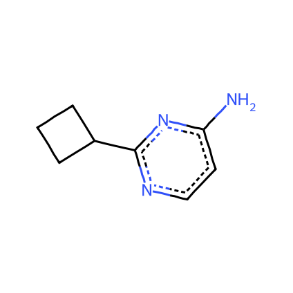 Nc1ccnc(C2CCC2)n1